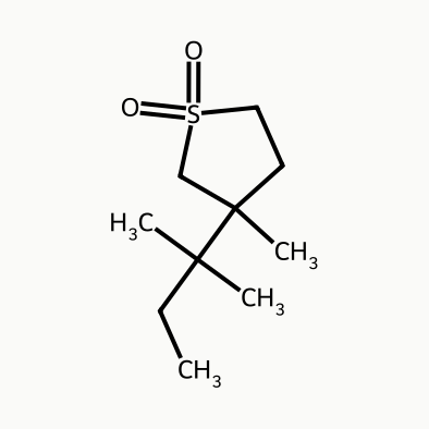 CCC(C)(C)C1(C)CCS(=O)(=O)C1